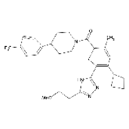 COCCc1nnc(C2=C(C3CCC3)C=C(C)C(C(=O)N3CCC(c4ccc(C(F)(F)F)cc4)CC3)C2)[nH]1